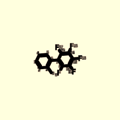 Cc1[c]cccc1-c1c(F)c(F)c(F)c(F)c1F